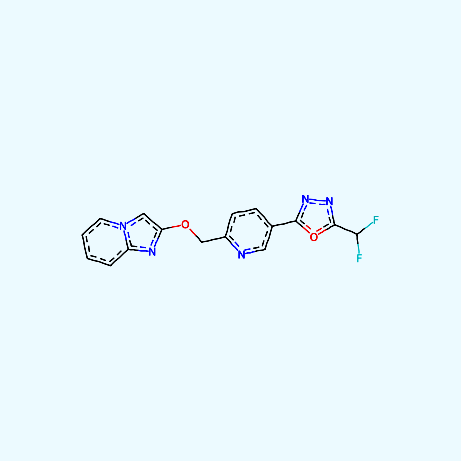 FC(F)c1nnc(-c2ccc(COc3cn4ccccc4n3)nc2)o1